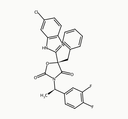 C[C@H](c1ccc(F)c(F)c1)N1C(=O)O[C@](Cc2ccccc2)(c2nc3ccc(Cl)cc3[nH]2)C1=O